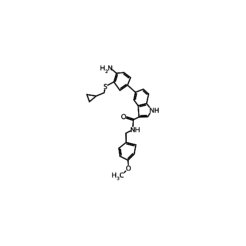 COc1ccc(CNC(=O)c2c[nH]c3ccc(-c4ccc(N)c(SCC5CC5)c4)cc23)cc1